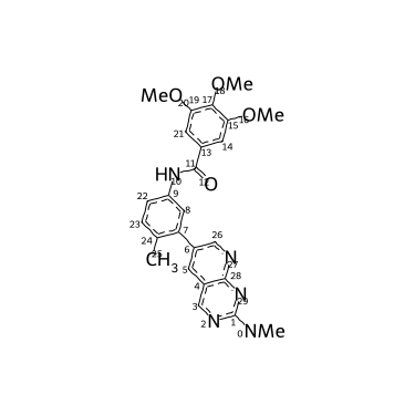 CNc1ncc2cc(-c3cc(NC(=O)c4cc(OC)c(OC)c(OC)c4)ccc3C)cnc2n1